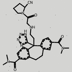 CN(C)C(=O)c1ccc2c(c1)CCc1cc(C(=O)N(C)C)ccc1C2(CCNCC(=O)N1CCCC1C#N)c1nnn[nH]1